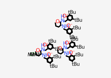 CC(C)(C)c1cc(CNC2OCCC[C@H]2NCc2cc(C(C)(C)C)cc(C(C)(C)C)c2[O-])c([O-])c(C(C)(C)C)c1.CC(C)(C)c1cc(CNC2OCCC[C@H]2NCc2cc(C(C)(C)C)cc(C(C)(C)C)c2[O-])c([O-])c(C(C)(C)C)c1.CC(C)(C)c1cc(CNC2OCCC[C@H]2NCc2cc(C(C)(C)C)cc(C(C)(C)C)c2[O-])c([O-])c(C(C)(C)C)c1.[Cl-].[Mn+3].[Mn+3]